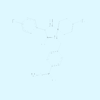 COC(=O)c1ccc(CN2C(=O)C(c3ccc(F)cc3)NC23CCC(C(C)(C)C)CC3)cc1